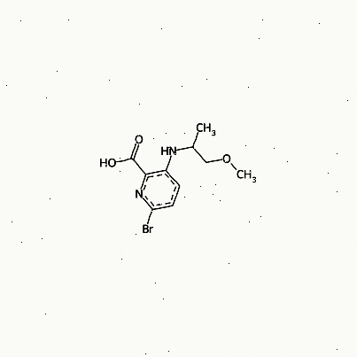 COCC(C)Nc1ccc(Br)nc1C(=O)O